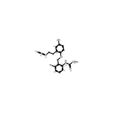 CCc1ccc(OCc2c(F)cccc2NC(=O)OC)c(CCN=[N+]=[N-])c1